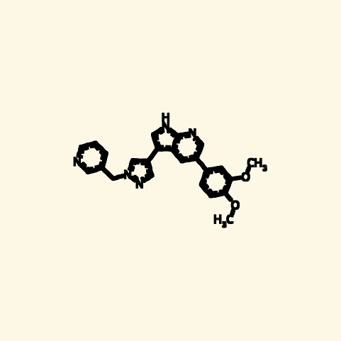 COc1ccc(-c2cnc3[nH]cc(-c4cnn(Cc5cccnc5)c4)c3c2)cc1OC